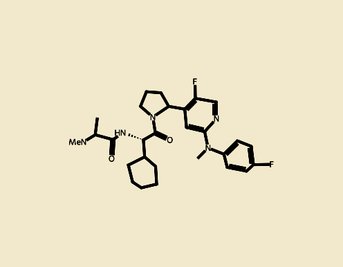 CNC(C)C(=O)N[C@H](C(=O)N1CCCC1c1cc(N(C)c2ccc(F)cc2)ncc1F)C1CCCCC1